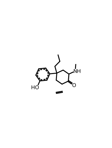 C=C.CCCC1(c2cccc(O)c2)CCC(=O)C(NC)C1